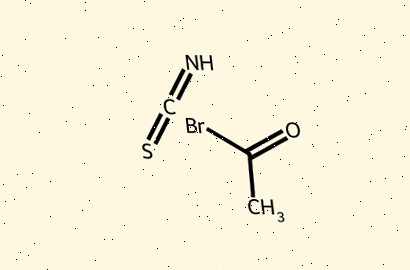 CC(=O)Br.N=C=S